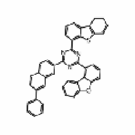 C1=Cc2sc3c(-c4nc(-c5ccc6ccc(-c7ccccc7)cc6c5)nc(-c5cccc6oc7ccccc7c56)n4)cccc3c2CC1